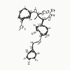 CCOC(=O)C(C)(Oc1cccc(C(F)(F)F)c1)C(O)c1ccc(OCc2ccccc2)cc1